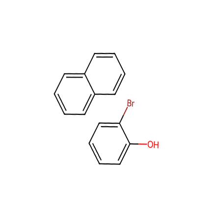 Oc1ccccc1Br.c1ccc2ccccc2c1